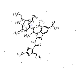 CC/N=C(/N[C@@H](C)[C@@H]1NN(CC)C1C)N(C)C(C)n1c(NC(=O)c2sc(C)nc2CC)nc2cc(C(=O)O)cc(OC)c21